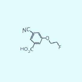 N#Cc1cc(OCCF)cc(C(=O)O)c1